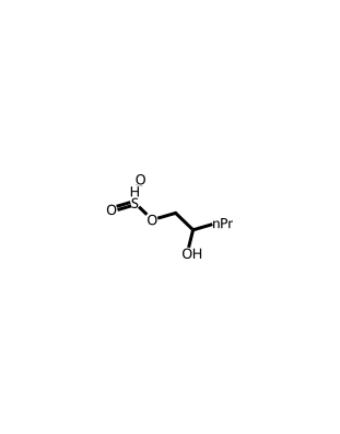 CCCC(O)CO[SH](=O)=O